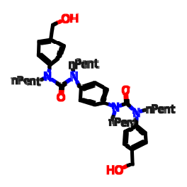 CCCCCN(C(=O)N(CCCCC)c1ccc(N(CCCCC)C(=O)N(CCCCC)c2ccc(CO)cc2)cc1)c1ccc(CO)cc1